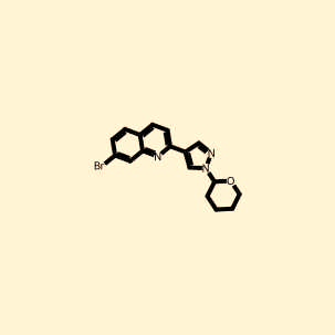 Brc1ccc2ccc(-c3cnn(C4CCCCO4)c3)nc2c1